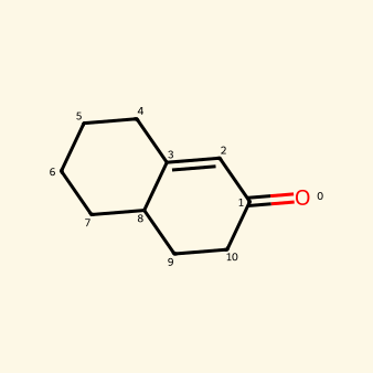 O=C1C=C2CCCCC2CC1